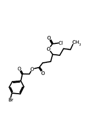 CCCCC(CCC(=O)OCC(=O)c1ccc(Br)cc1)OC(=O)Cl